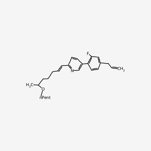 C=CCc1ccc(-c2ccc(/C=C/CCCC(C)OCCCCC)nc2)c(F)c1